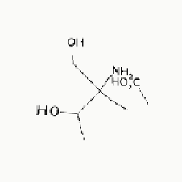 CC(=O)O.CC(O)C(C)(N)CO